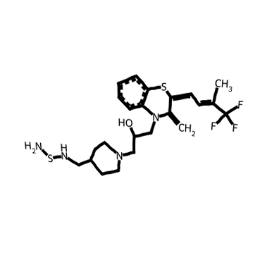 C=C1/C(=C\C=C(/C)C(F)(F)F)Sc2ccccc2N1CC(O)CN1CCC(CNSN)CC1